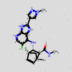 CNC(=O)[C@@H]1[C@@H](Nc2c(Cl)cnc3[nH]c(-c4cnn(C)c4)nc23)[C@@H]2C=C[C@@H]1C2